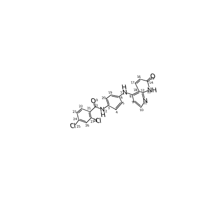 O=C(Nc1ccc(Nc2ccnc3[nH]c(=O)ccc23)cc1)c1ccc(Cl)cc1Cl